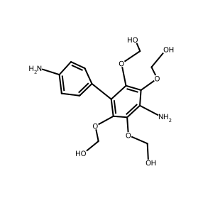 Nc1ccc(-c2c(OCO)c(OCO)c(N)c(OCO)c2OCO)cc1